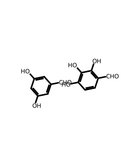 O=Cc1cc(O)cc(O)c1.O=Cc1ccc(O)c(O)c1O